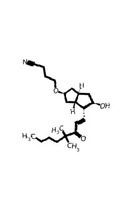 CCCCC(C)(C)C(=O)C=C[C@@H]1[C@@H]2C[C@@H](OCCCC#N)C[C@H]2C[C@H]1O